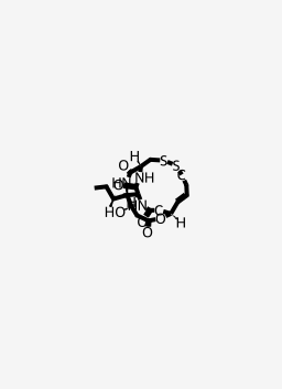 CC[C@H](C)[C@H]1NC(=O)[C@H]2CSSCC/C=C/[C@H](CC(=O)N[C@H](C)C(=O)N2)OC(=O)C[C@@H]1O